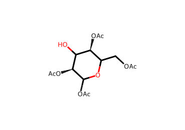 CC(=O)OCC1OC(OC(C)=O)[C@@H](OC(C)=O)C(O)[C@H]1OC(C)=O